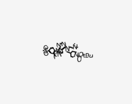 CN(C)CCN(CC1CCN(C(=O)OC(C)(C)C)CC1)c1ncnc2c1cnn2-c1ccc(S(C)(=O)=O)cc1F